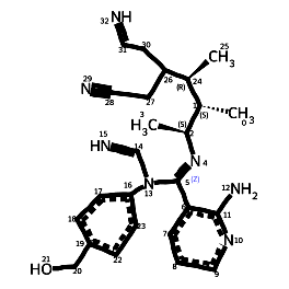 C[C@H]([C@H](C)/N=C(/c1cccnc1N)N(C=N)c1ccc(CO)cc1)[C@H](C)C(CC#N)CC=N